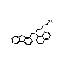 NCCCCN(Cc1nccc2c1[nH]c1ccccc12)C1CCCc2cccnc21